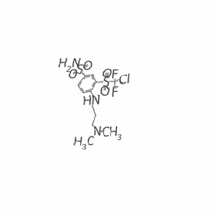 CN(C)CCCNc1ccc(S(N)(=O)=O)cc1S(=O)(=O)C(F)(F)Cl